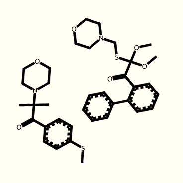 COC(OC)(SCN1CCOCC1)C(=O)c1ccccc1-c1ccccc1.CSc1ccc(C(=O)C(C)(C)N2CCOCC2)cc1